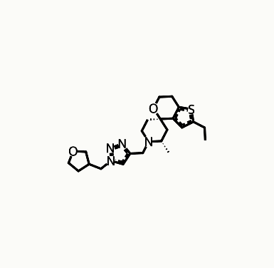 CCc1cc2c(s1)CCO[C@@]21CCN(Cc2cn(CC3CCOC3)nn2)[C@@H](C)C1